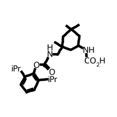 CC(C)c1cccc(C(C)C)c1OC(=O)NCC1(C)CC(NC(=O)O)CC(C)(C)C1